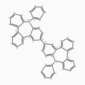 c1ccc(N2c3ccccc3-c3ccccc3-c3cc(-c4ccc5c(c4)-c4ccccc4-c4ccccc4N5c4ccccc4)ccc32)cc1